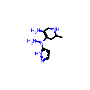 CC1CC(N(N)c2ccn[nH]2)=C(N)CN1